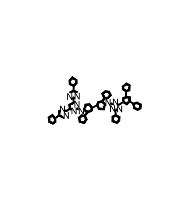 c1ccc(-c2cnc(-c3cc(-c4ncc(-c5ccccc5)cn4)nc(-n4c5ccccc5c5cc(-c6ccc7c(c6)c6ccccc6n7-c6nc(-c7ccccc7)nc(-c7cc(-c8ccccc8)cc(-c8ccccc8)c7)n6)ccc54)n3)nc2)cc1